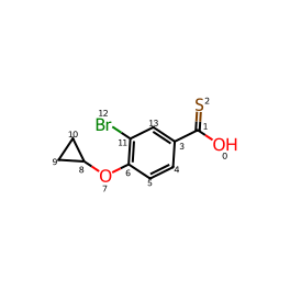 OC(=S)c1ccc(OC2CC2)c(Br)c1